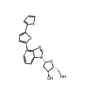 OC[C@H]1O[C@@H](n2cnc3c(-c4ccc(-c5cccs5)s4)cccc32)C[C@@H]1O